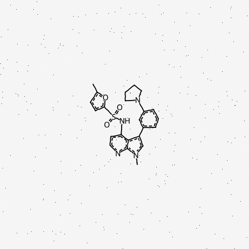 Cc1ccc(S(=O)(=O)Nc2ccnc3c2c(-c2cccc(N4CCCC4)c2)cn3C)o1